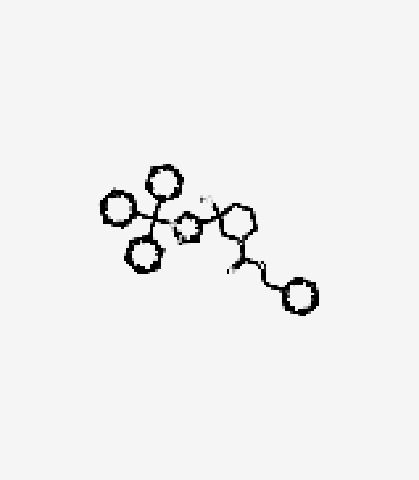 O=C(OCc1ccccc1)N1CCCC(O)(c2cnn(C(c3ccccc3)(c3ccccc3)c3ccccc3)c2)C1